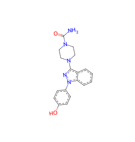 NC(=O)N1CCN(c2nn(-c3ccc(O)cc3)c3ccccc23)CC1